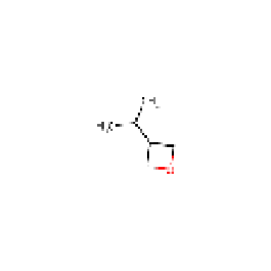 CC(C)[C]1COC1